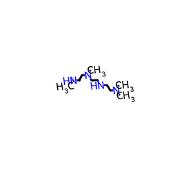 CNCCN(C)CCNCCN(C)C